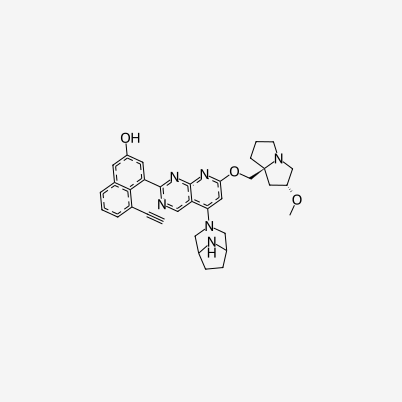 C#Cc1cccc2cc(O)cc(-c3ncc4c(N5CC6CCC(C5)N6)cc(OC[C@@]56CCCN5C[C@H](OC)C6)nc4n3)c12